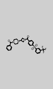 O=C(c1ccccc1)N1CCN(C2CN(C(=O)c3ccc(S(=O)(=O)c4cccc(C(F)(F)F)c4)cc3)C2)CC1